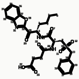 CCCC[C@H](NC(=O)[C@H](CS(=O)(=O)Cc1ccccc1)NC(=O)CCC(=O)O)C(=O)c1nc2ccccc2o1